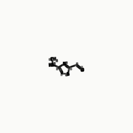 CNc1csc(C=O)n1